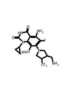 COc1c(N2CC(CN)C(C(F)(F)F)C2)c(F)c(N)c2c(=O)[nH]c(=O)n(C3CC3)c12